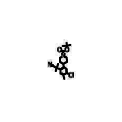 Cc1cc(C(C)(C)C#N)c(C2CCN(C(=O)OC(C)(C)C)CC2)cc1Cl